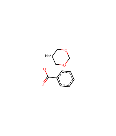 C1COCOC1.O=C([O-])c1ccccc1.[Na+]